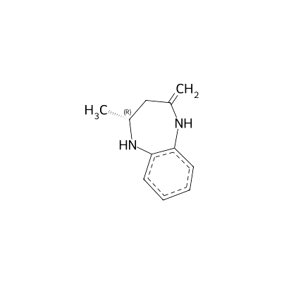 C=C1C[C@@H](C)Nc2ccccc2N1